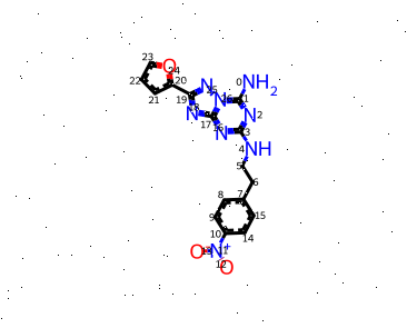 Nc1nc(NCCc2ccc([N+](=O)[O-])cc2)nc2nc(-c3ccco3)nn12